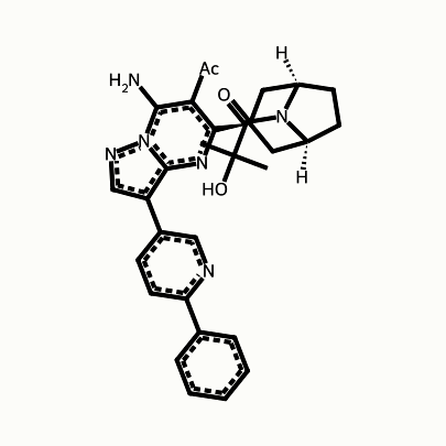 CC(=O)c1c([C@H]2C[C@H]3CC[C@@H](C2)N3C(=O)C(C)(C)O)nc2c(-c3ccc(-c4ccccc4)nc3)cnn2c1N